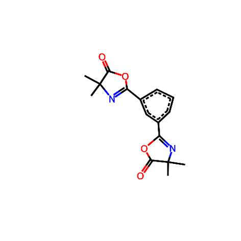 CC1(C)N=C(c2cccc(C3=NC(C)(C)C(=O)O3)c2)OC1=O